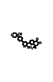 N#CC1(c2ccc(-c3cnc(N)c(-c4ccc5c(c4)C4(CC4)CNC5=O)c3)cc2)CCOCC1